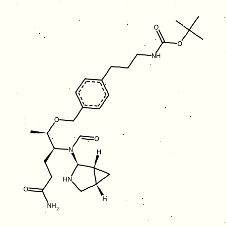 C[C@@H](OCc1ccc(CCCNC(=O)OC(C)(C)C)cc1)[C@H](CCC(N)=O)N(C=O)[C@@H]1NC[C@H]2C[C@H]21